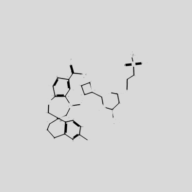 C[C@@H]1C[C@@H](OCCS(N)(=O)=O)C[C@@H]([C@@H]2CC[C@H]2CN2C[C@@]3(CCCc4cc(Cl)ccc43)COc3ccc(C(=O)O)cc32)O1